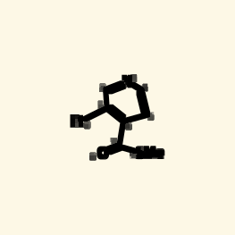 CCc1cnccc1C(=O)SC